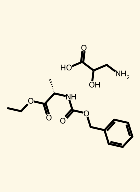 CCOC(=O)[C@H](C)NC(=O)OCc1ccccc1.NCC(O)C(=O)O